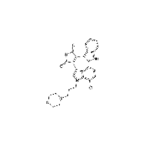 O=C1NC(=O)C(c2cn(CCCN3CCOCC3)c3c(Cl)cccc23)=C1c1c[nH]c2ccccc12